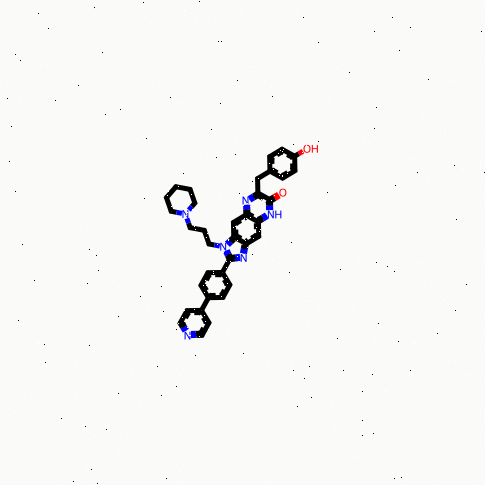 O=c1[nH]c2cc3nc(-c4ccc(-c5ccncc5)cc4)n(CCCN4CCCCC4)c3cc2nc1Cc1ccc(O)cc1